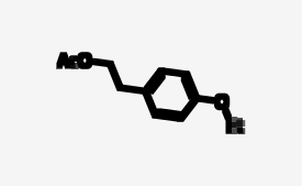 CCOc1ccc(CCOC(C)=O)cc1